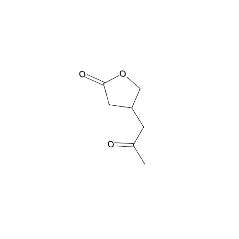 CC(=O)CC1COC(=O)C1